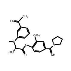 CCCC[C@H](C(=O)Oc1ccc(C(=N)N2CCCC2)cc1OC)N(C)c1cccc(C(=N)N)c1